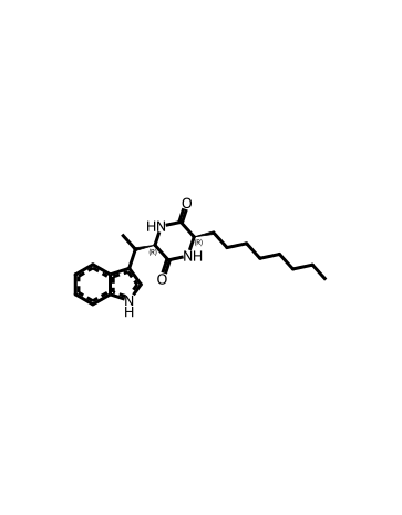 CCCCCCCC[C@H]1NC(=O)[C@@H](C(C)c2c[nH]c3ccccc23)NC1=O